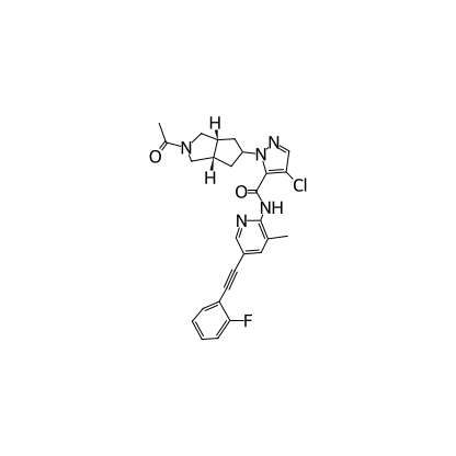 CC(=O)N1C[C@H]2CC(n3ncc(Cl)c3C(=O)Nc3ncc(C#Cc4ccccc4F)cc3C)C[C@H]2C1